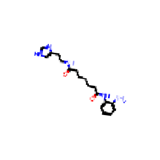 Nc1ccccc1NC(=O)CCCCCC(=O)NCCc1c[nH]cn1